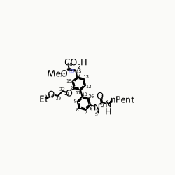 CCCCCNC(=O)N(C)c1cccc(-c2ccc(/C=C(\OC)C(=O)O)cc2OCCOCC)c1